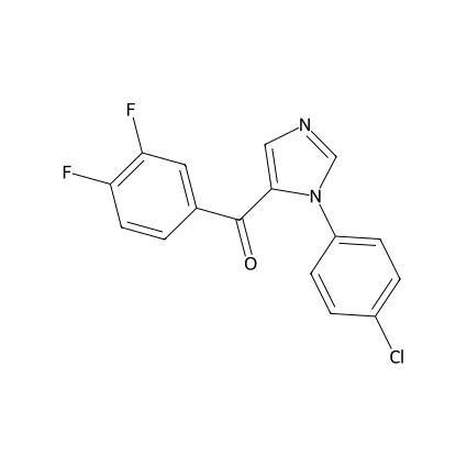 O=C(c1ccc(F)c(F)c1)c1cncn1-c1ccc(Cl)cc1